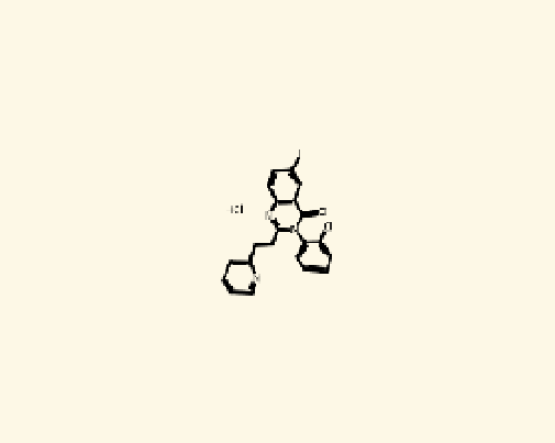 Cl.O=c1c2cc(F)ccc2nc(CCc2ccccn2)n1-c1ccccc1Cl